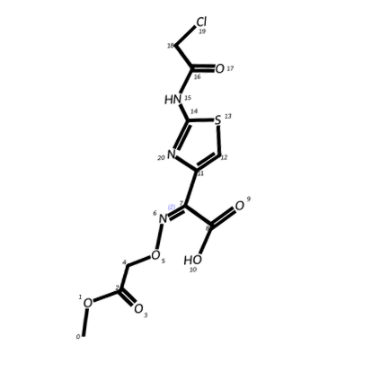 COC(=O)CO/N=C(\C(=O)O)c1csc(NC(=O)CCl)n1